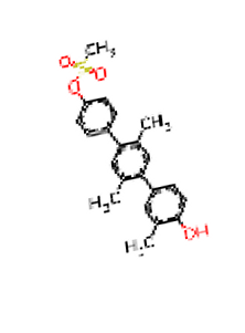 Cc1cc(-c2cc(C)c(-c3ccc(OS(C)(=O)=O)cc3)cc2C)ccc1O